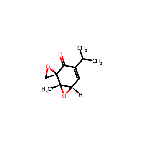 CC(C)C1=C[C@@H]2O[C@]2(C)[C@@]2(CO2)C1=O